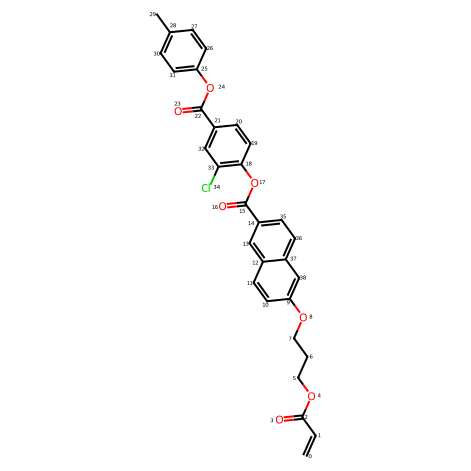 C=CC(=O)OCCCOc1ccc2cc(C(=O)Oc3ccc(C(=O)Oc4ccc(C)cc4)cc3Cl)ccc2c1